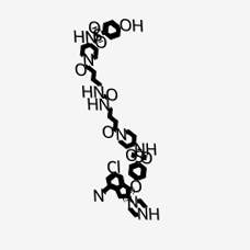 N#Cc1cc(Cl)cc2c1C[C@H](N1CCNCC1)[C@H]2Oc1ccc(S(=O)(=O)NC2CCN(C(=O)CCCNC(=O)NCCCC(=O)N3CCC(NS(=O)(=O)c4ccc(O)cc4)CC3)CC2)cc1